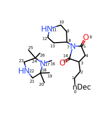 CCCCCCCCCCCCC1CC(=O)N(C2CCNCC2)C1=O.CN1C(C)(C)CNCC1(C)C